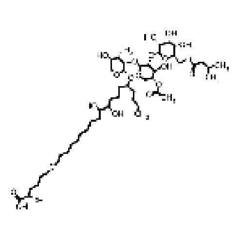 CCCCC(CCCC(O)C(O)CCCCCCCCCCCCCCC(O)C(=O)O)O[C@@H]1OC[C@@H](O)[C@H](C)[C@H]1O[C@@H]1OC[C@@H](OC(C)=O)[C@H](O)[C@H]1O[C@@H]1O[C@H](COC(=O)CC(C)C)[C@@H](O)[C@H](O)[C@H]1O